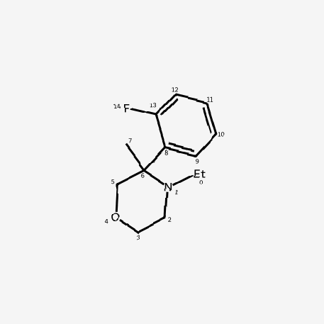 CCN1CCOCC1(C)c1ccccc1F